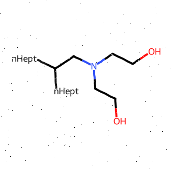 CCCCCCCC(CCCCCCC)CN(CCO)CCO